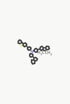 CC1(C)c2ccccc2-c2ccc(-c3ccc(N(c4ccc(-c5ccc6c(c5)sc5ccccc56)cc4)c4cccc(-c5cccc6ccccc56)c4)cc3)cc21